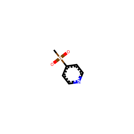 CS(=O)(=O)c1ccncc1